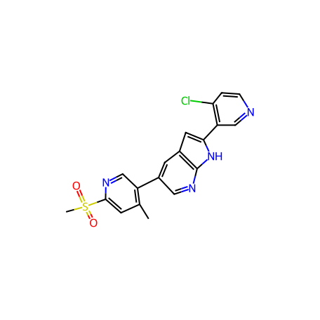 Cc1cc(S(C)(=O)=O)ncc1-c1cnc2[nH]c(-c3cnccc3Cl)cc2c1